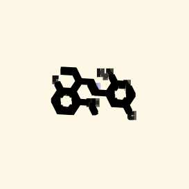 C=CC(/C=C/c1cc(Cl)cnc1N)c1c(F)cccc1NC